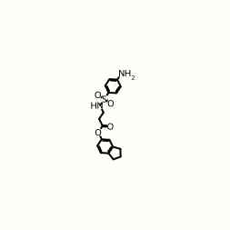 Nc1ccc(S(=O)(=O)NCCC(=O)Oc2ccc3c(c2)CCC3)cc1